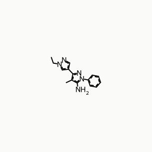 CCn1cc(-c2nn(-c3ccccc3)c(N)c2C)cn1